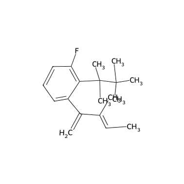 C=C(/C(C)=C/C)c1cccc(F)c1C(C)(C)C(C)(C)C